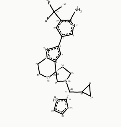 Nc1ncc(-c2cc3n(n2)CCO[C@@]32CCN([C@@H](c3ncc[nH]3)C3CC3)C2)cc1C(F)(F)F